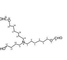 O=COCCCCCCN(CCCCO)CCCCCCOC=O